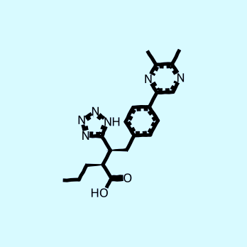 CCC[C@H](C(=O)O)[C@H](Cc1ccc(-c2cnc(C)c(C)n2)cc1)c1nnn[nH]1